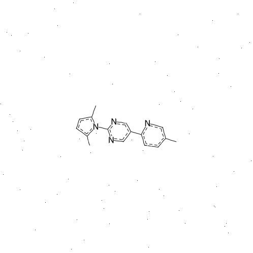 Cc1ccc(-c2cnc(-n3c(C)ccc3C)nc2)nc1